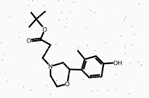 Cc1cc(O)ccc1C1CN(CCC(=O)OC(C)(C)C)CCO1